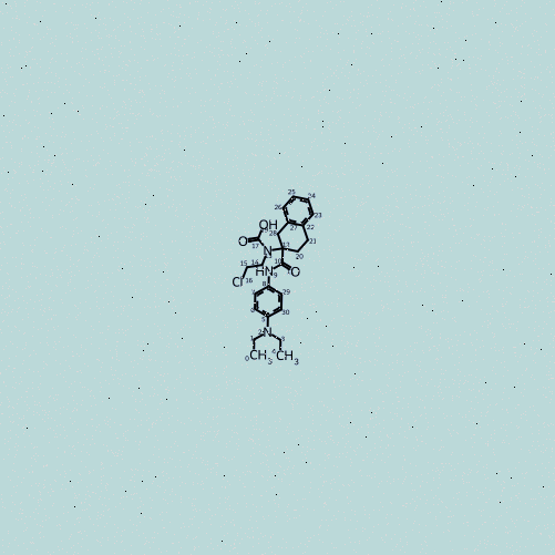 CCN(CC)c1ccc(NC(=O)C2(N(CCCl)C(=O)O)CCc3ccccc3C2)cc1